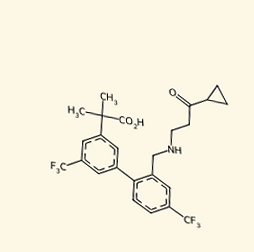 CC(C)(C(=O)O)c1cc(-c2ccc(C(F)(F)F)cc2CNCCC(=O)C2CC2)cc(C(F)(F)F)c1